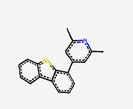 Cc1cc(-c2cccc3c2sc2ccccc23)cc(C)n1